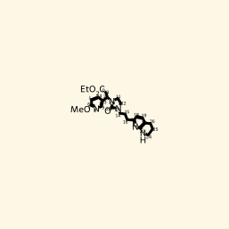 CCOC(=O)CC(c1ccc(OC)nc1)N1CCN(CCCc2ccc3c(n2)NCCC3)C1=O